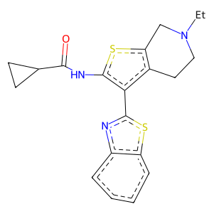 CCN1CCc2c(sc(NC(=O)C3CC3)c2-c2nc3ccccc3s2)C1